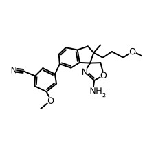 COCCCC1(C)Cc2ccc(-c3cc(C#N)cc(OC)c3)cc2C12COC(N)=N2